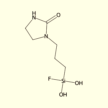 O=C1NCCN1CCC[Si](O)(O)F